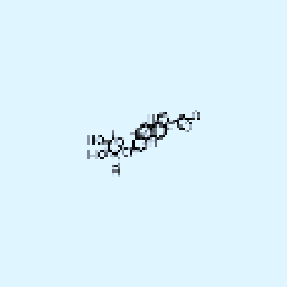 C[C@H]1OC(O[C@H]2CC[C@@]3(C)[C@H](CC[C@@H]4[C@@H]3CC[C@]3(C)[C@@H](C5=CC(=O)OC5)CC[C@@H]43)C2)[C@@H](O)[C@@H](O)[C@@H]1O